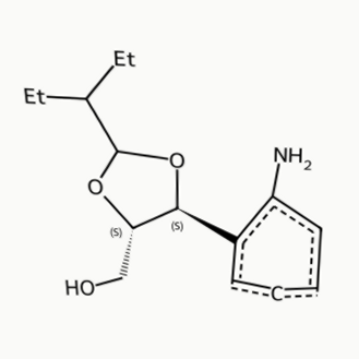 CCC(CC)C1O[C@@H](CO)[C@H](c2ccccc2N)O1